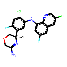 C[C@@]1(c2cc(Nc3cc(F)cc4cc(Cl)cnc34)ccc2F)COCC(N)=N1.Cl